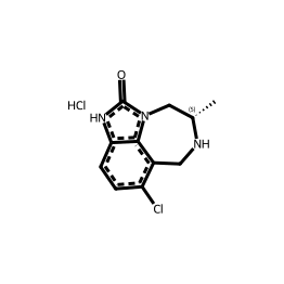 C[C@H]1Cn2c(=O)[nH]c3ccc(Cl)c(c32)CN1.Cl